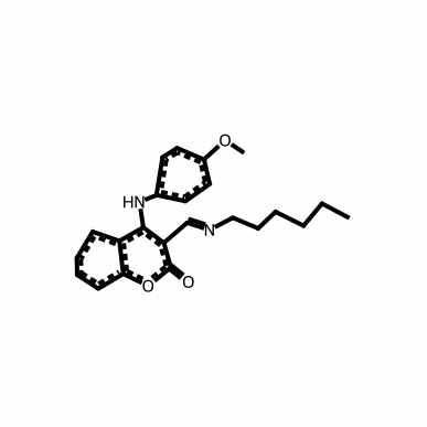 CCCCCC/N=C/c1c(Nc2ccc(OC)cc2)c2ccccc2oc1=O